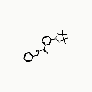 CC1(C)OB(c2cccc(C(=O)NCc3ccccc3)c2)OC1(C)C